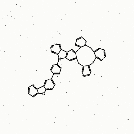 c1ccc2c(c1)Cc1ccccc1-c1cc3c4ccccc4n(-c4ccc(-c5ccc6oc7ccccc7c6c5)cc4)c3cc1Cc1ccccc1S2